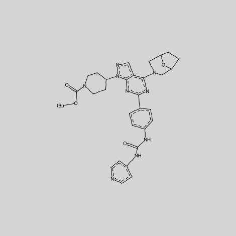 CC(C)(C)OC(=O)N1CCC(n2ncc3c(N4CC5CCC(C4)O5)nc(-c4ccc(NC(=O)Nc5ccncc5)cc4)nc32)CC1